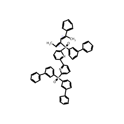 C/C=C(\C=C(/C)c1ccccc1)P(=O)(c1cccc(-c2ccccc2)c1)c1cccc(-c2cccc(P(=O)(c3cccc(-c4ccccc4)c3)c3cccc(-c4ccccc4)c3)n2)n1